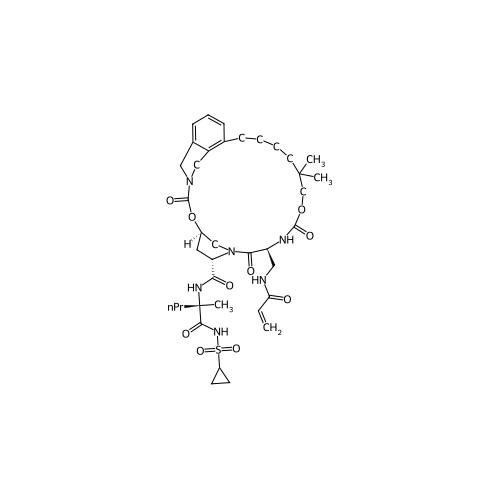 C=CC(=O)NC[C@@H]1NC(=O)OCC(C)(C)CCCCc2cccc3c2CN(C3)C(=O)O[C@@H]2C[C@@H](C(=O)N[C@@](C)(CCC)C(=O)NS(=O)(=O)C3CC3)N(C2)C1=O